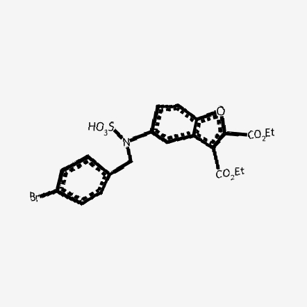 CCOC(=O)c1oc2ccc(N(Cc3ccc(Br)cc3)S(=O)(=O)O)cc2c1C(=O)OCC